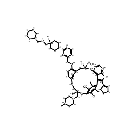 Cc1c(Cl)c2c(Cl)c(C)c1-c1c(C3=CCCC3)sc3ncnc(c13)O[C@@H](C(=O)O)Cc1cc(ccc1OCc1ccnc([C@H]3CC[C@@](F)(COC[C@@H]4COCCO4)CC3)n1)OC[C@@H](CN1CCN(C)CC1)O2